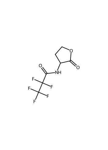 O=C1OCCC1NC(=O)C(F)(F)C(F)(F)F